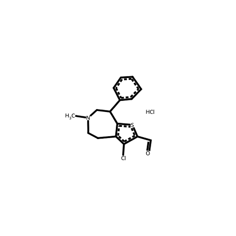 CN1CCc2c(sc(C=O)c2Cl)C(c2ccccc2)C1.Cl